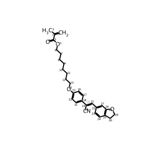 C=C(C)C(=O)OCCCCCCCCOc1ccc(/C(C#N)=C/c2ccc3c(c2)OCC3)cc1